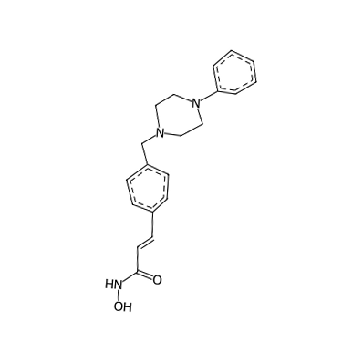 O=C(/C=C/c1ccc(CN2CCN(c3ccccc3)CC2)cc1)NO